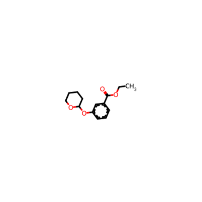 CCOC(=O)c1cccc(OC2CCCCO2)c1